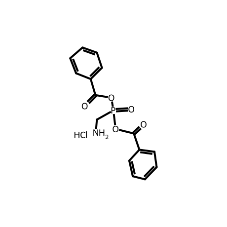 Cl.NCP(=O)(OC(=O)c1ccccc1)OC(=O)c1ccccc1